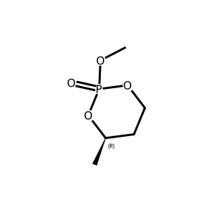 COP1(=O)OCC[C@@H](C)O1